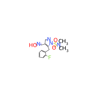 CN(C)S(=O)(=O)n1ncc(/C=N/O)c1Cc1ccccc1F